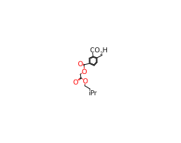 Cc1ccc(C(=O)OCC(=O)OCCC(C)C)cc1C(=O)O